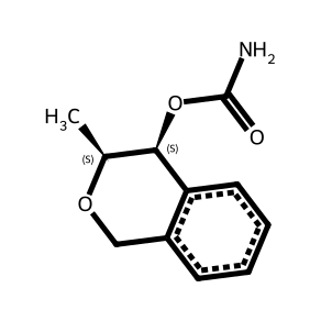 C[C@@H]1OCc2ccccc2[C@@H]1OC(N)=O